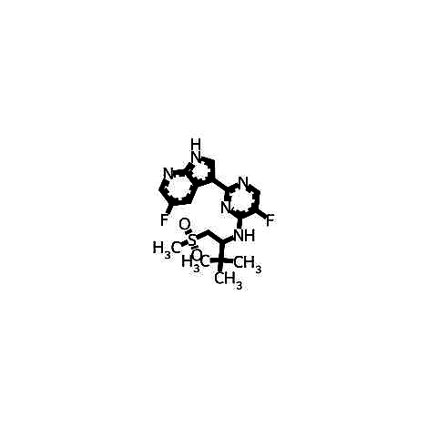 CC(C)(C)C(CS(C)(=O)=O)Nc1nc(-c2c[nH]c3ncc(F)cc23)ncc1F